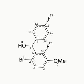 COc1ccc(Br)c(C(O)c2ccc(F)cc2)c1F